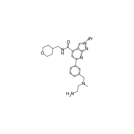 CC(C)n1cc2c(C(=O)NCC3CCOCC3)cc(-c3cccc(CN(C)CCN)c3)nc2n1